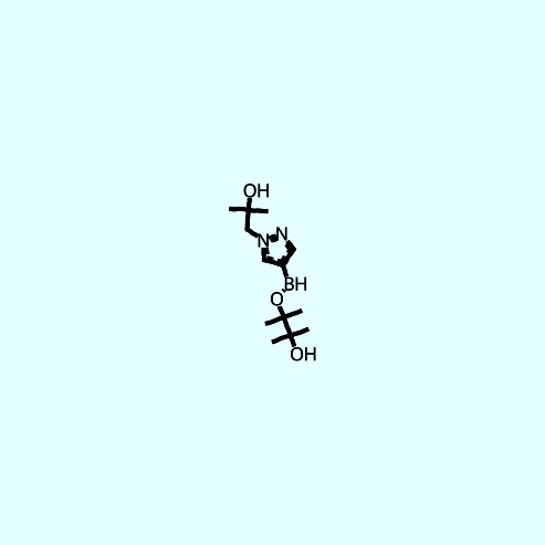 CC(C)(O)Cn1cc(BOC(C)(C)C(C)(C)O)cn1